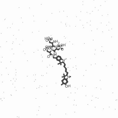 Cc1cc2c(cc1O)N(C)/C(=C/C=C/C=C/C1=[N+](C)c3ccc(CNC(=O)C(CS(=O)(=O)O)NC(=O)C(CS(=O)(=O)O)NC(=O)C(N)CS(=O)(=O)O)cc3C1(C)C)C2(C)C